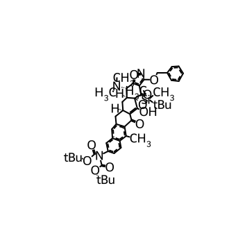 Cc1c2c(cc3cc(N(C(=O)OC(C)(C)C)C(=O)OC(C)(C)C)ccc13)C[C@H]1C[C@H]3[C@H](N(C)C)c4onc(OCc5ccccc5)c4C(=O)[C@@]3(O[Si](C)(C)C(C)(C)C)C(O)=C1C2=O